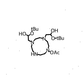 CC(=O)ON1CCNCCN(CC(O)OC(C)(C)C)CCN(CC(O)OC(C)(C)C)CC1